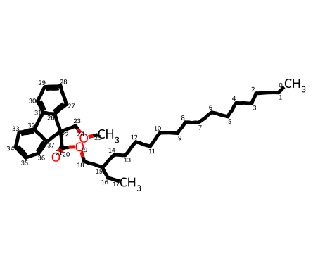 CCCCCCCCCCCCCCCC(CC)COC(=O)C1(COC)c2ccccc2-c2ccccc21